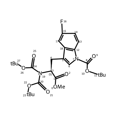 COC(=O)[C@H](Cc1cn(C(=O)OC(C)(C)C)c2ccc(F)cc12)N(C(=O)OC(C)(C)C)C(=O)OC(C)(C)C